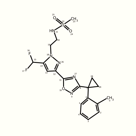 Cc1ccccc1C1(c2noc(-c3cc(C(F)F)n(CCNS(C)(=O)=O)n3)n2)CC1